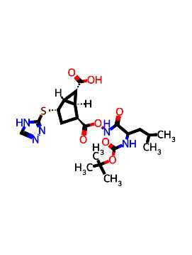 CC(C)CC(NC(=O)OC(C)(C)C)C(=O)NOC(=O)[C@H]1C[C@H](Sc2nnc[nH]2)[C@H]2[C@H](C(=O)O)[C@H]21